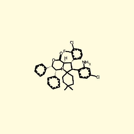 CC1(C)CCC2(CC1)C(c1ccc(Cl)cc1N)[C@@H](c1cccc(Cl)c1F)[C@@H]1C(=O)O[C@@H](c3ccccc3)[C@@H](c3ccccc3)N12